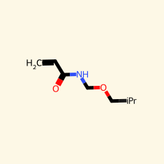 C=CC(=O)NCOCC(C)C